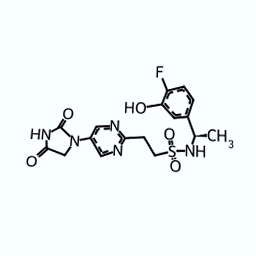 C[C@@H](NS(=O)(=O)CCc1ncc(N2CC(=O)NC2=O)cn1)c1ccc(F)c(O)c1